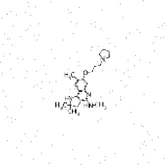 CNc1nc2cc(OCCCN3CCCC3)c(C)cc2c2c1CC(C)(C)N2